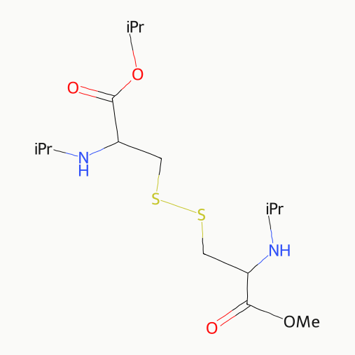 COC(=O)C(CSSCC(NC(C)C)C(=O)OC(C)C)NC(C)C